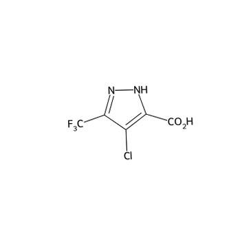 O=C(O)c1[nH]nc(C(F)(F)F)c1Cl